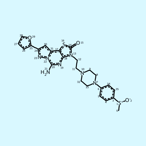 C[S+]([O-])c1ccc(N2CCN(CCn3c(=O)sc4c3nc(N)n3nc(-c5ccco5)cc43)CC2)cc1